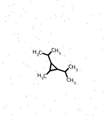 CC(C)C1C(C)C1C(C)C